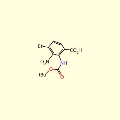 CCc1ccc(C(=O)O)c(NC(=O)OC(C)(C)C)c1[N+](=O)[O-]